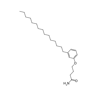 CCCCCCCCCCCCCCCc1cccc(OCCCC(N)=O)c1